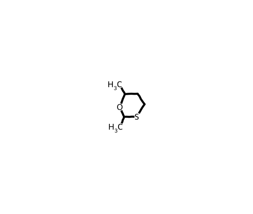 CC1CCSC(C)O1